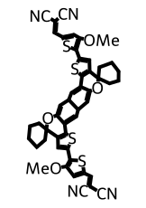 COc1cc(C=C(C#N)C#N)sc1-c1cc2c(s1)C1=CC3C=C4OC5(CCCCC5)c5cc(-c6sc(C=C(C#N)C#N)cc6OC)sc5C4=CC3C=C1OC21CCCCC1